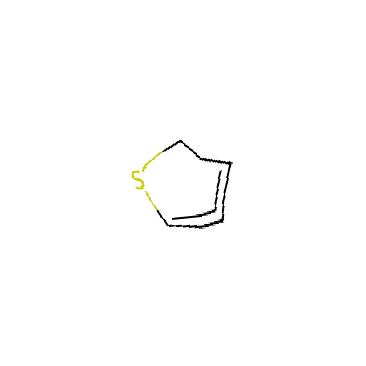 C1=CCSC=1